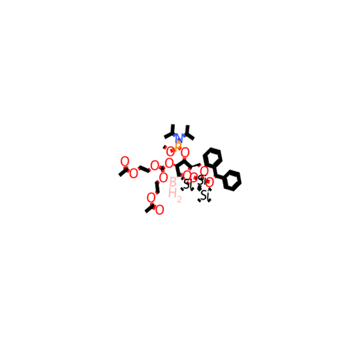 B[C@@H]1O[C@H](CO[Si](C[Si](C)(C)C)(OC(c2ccccc2)c2ccccc2)O[Si](C)(C)C)C(OP(OC)N(C(C)C)C(C)C)[C@@H]1OC(OCCOC(C)=O)OCCOC(C)=O